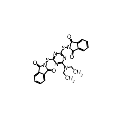 CCN(CC)c1nc(SN2C(=O)c3ccccc3C2=O)nc(SN2C(=O)c3ccccc3C2=O)n1